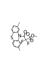 COS(=O)(=O)C(F)(F)C(=O)N1c2cc(C)ccc2Sc2ccc(C)cc21